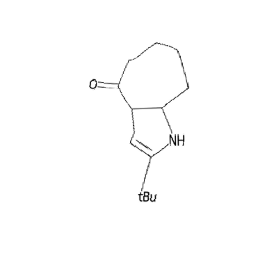 CC(C)(C)C1=CC2C(=O)CCCCC2N1